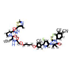 Cc1ncsc1-c1nnc(C2CCCN2C(=O)C(NC(=O)COCCCCOc2ccc(-c3ncc(N4C(=S)N(c5ccc(C#N)c(C(F)(F)F)c5F)C(=O)C4(C)C)cc3F)c(C(F)(F)F)c2)C(C)(C)C)o1